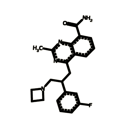 Cc1nc(CC(CN2CCC2)c2cccc(F)c2)c2cccc(C(N)=O)c2n1